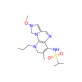 CCCN1CC(C)=C(NS(=O)(=O)C(C)C)C2=C1N1CN(OC)C=C1C=N2